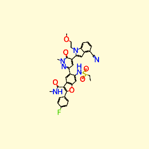 CCS(=O)(=O)Nc1cc2oc(-c3ccc(F)cc3)c(C(=O)NC)c2cc1-c1cc(-c2cc3c(C#N)cccc3n2CCOC)c(=O)n(C)n1